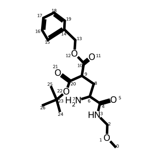 COCNC(=O)C(N)CC(C(=O)OCc1ccccc1)C(=O)OC(C)(C)C